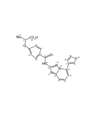 CC(C)(C)C(Oc1ccc(C(=O)Nc2nc3cccc(-c4ccoc4)n3n2)cc1)C(=O)O